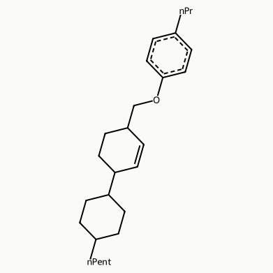 CCCCCC1CCC(C2C=CC(COc3ccc(CCC)cc3)CC2)CC1